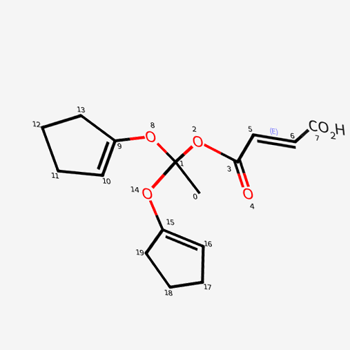 CC(OC(=O)/C=C/C(=O)O)(OC1=CCCC1)OC1=CCCC1